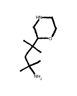 CC(C)(N)CC(C)(C)C1CNCCO1